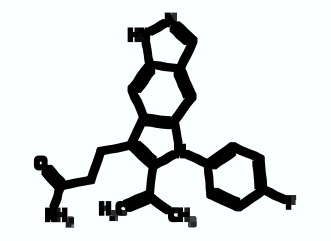 C=C(C)c1c(CCC(N)=O)c2cc3[nH]ncc3cc2n1-c1ccc(F)cc1